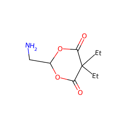 CCC1(CC)C(=O)OC(CN)OC1=O